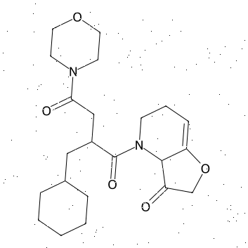 O=C1COC2=CCCN(C(=O)C(CC(=O)N3CCOCC3)CC3CCCCC3)C12